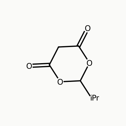 CC(C)C1OC(=O)CC(=O)O1